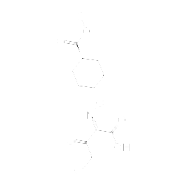 COC(=O)[C@H]1CC[C@H](ON=C(C(=O)O)C(=O)CCl)CC1